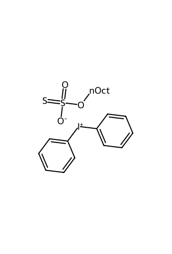 CCCCCCCCOS(=O)([O-])=S.c1ccc([I+]c2ccccc2)cc1